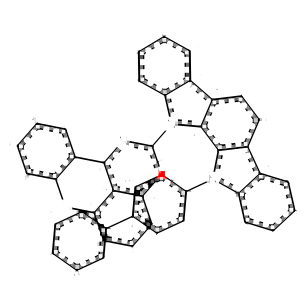 c1ccc(-c2ccc(-n3c4ccccc4c4ccc5c6ccccc6n(-c6nc7c8c(cccc8n6)Oc6ccccc6-7)c5c43)cc2)cc1